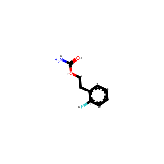 NC(=O)OCCc1ccccc1F